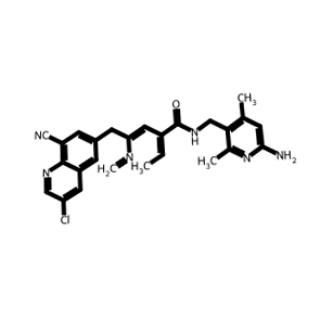 C=N/C(=C\C(=C/C)C(=O)NCc1c(C)cc(N)nc1C)Cc1cc(C#N)c2ncc(Cl)cc2c1